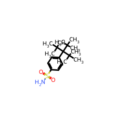 CC(C)(C)C(c1ccc(S(N)(=O)=O)cc1)(C(C)(C)C)C(C)(C)C